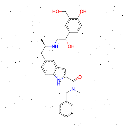 C[C@H](Cc1ccc2[nH]c(C(=O)N(C)Cc3ccccc3)cc2c1)NC[C@@H](O)c1ccc(O)c(CO)c1